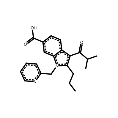 CCCc1c(C(=O)C(C)C)c2ccc(C(=O)O)cc2n1Cc1ccccn1